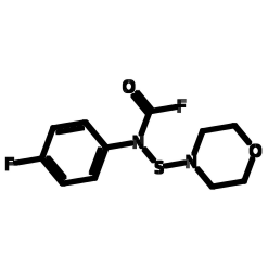 O=C(F)N(SN1CCOCC1)c1ccc(F)cc1